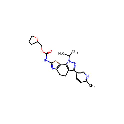 Cc1ccc(-c2nn(C(C)C)c3c2CCc2nc(NC(=O)OCC4CCCO4)sc2-3)cn1